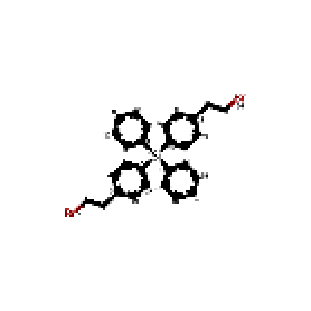 BrCCc1ccc([Si](c2ccccc2)(c2ccccc2)c2ccc(CCBr)cc2)cc1